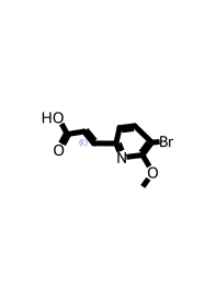 COc1nc(/C=C/C(=O)O)ccc1Br